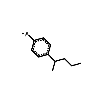 Bc1ccc(C(C)CCC)cc1